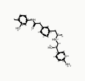 Cc1ccc(NC(=O)Cc2cccc(C[C@@H](C)NC[C@H](O)c3ccc(N)nc3)c2)cc1O